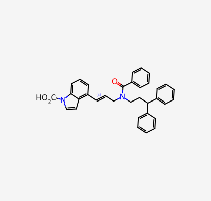 O=C(c1ccccc1)N(C/C=C/c1cccc2c1ccn2C(=O)O)CCC(c1ccccc1)c1ccccc1